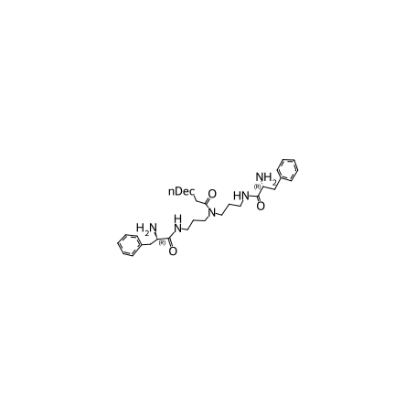 CCCCCCCCCCCC(=O)N(CCCNC(=O)[C@H](N)Cc1ccccc1)CCCNC(=O)[C@H](N)Cc1ccccc1